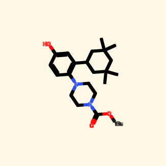 CC1(C)CC(c2cc(O)ccc2N2CCN(C(=O)OC(C)(C)C)CC2)CC(C)(C)C1